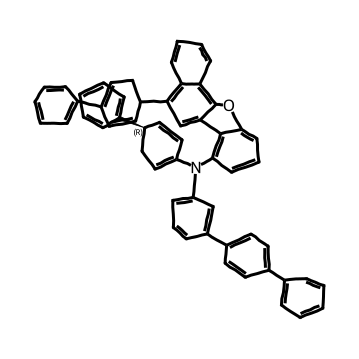 C1=CC(c2cc3c(oc4cccc(N(C5=CC[C@@H](c6ccccc6)C=C5)c5cccc(-c6ccc(-c7ccccc7)cc6)c5)c43)c3ccccc23)CC=C1c1ccccc1